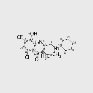 CN(Cc1nc2c(O)c(Cl)cc(Cl)c2c(=O)n1C)C1CCCCC1